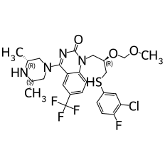 COCO[C@@H]1Cn2c(=O)nc(N3C[C@@H](C)N[C@@H](C)C3)c3cc(C(F)(F)F)cc(c32)[SH](c2ccc(F)c(Cl)c2)C1